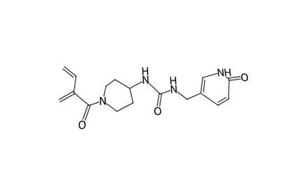 C=CC(=C)C(=O)N1CCC(NC(=O)NCc2ccc(=O)[nH]c2)CC1